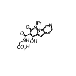 CC(C)n1c(=O)c(C(=O)NCC(=O)O)c(O)c2cc3ccncc3n21